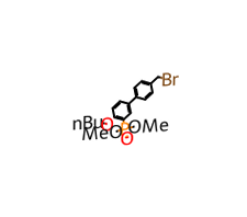 CCCCOc1ccc(-c2ccc(CBr)cc2)cc1P(=O)(OC)OC